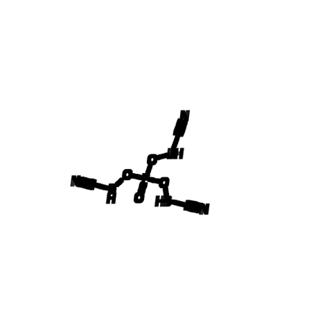 N#CBOP(=O)(OBC#N)OBC#N